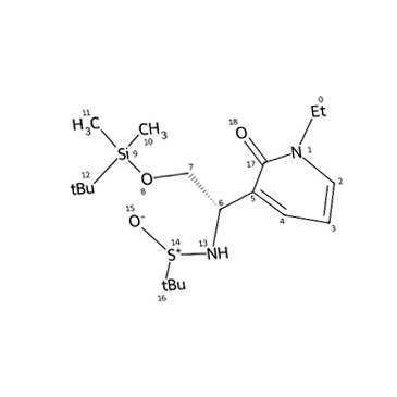 CCn1cccc([C@@H](CO[Si](C)(C)C(C)(C)C)N[S+]([O-])C(C)(C)C)c1=O